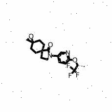 C[C@@H](Oc1ccc(N2CCC3(CCC4(CC3)CO4)C2=O)cn1)C(F)(F)F